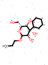 CCCOC1O[C@H](CO)[C@@H](O)[C@@](O)(C2CCCCC2)[C@H]1O